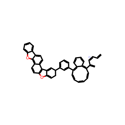 C=C/C=C\C(=C)c1ccccccc(-c2cccc(C3C=c4c(oc5ccc6c(ccc7c8ccccc8oc76)c45)=CC3)c2)c2ccccc12